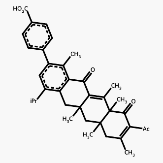 CC(=O)C1=C(C)CC2(C)CC3(C)Cc4c(C(C)C)cc(-c5ccc(C(=O)O)cc5)c(C)c4C(=O)C3=C(C)C2(C)C1=O